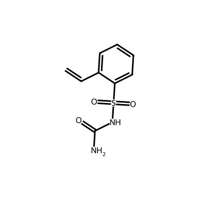 C=Cc1ccccc1S(=O)(=O)NC(N)=O